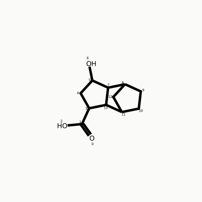 O=C(O)C1CC(O)C2C3CCC(C3)C12